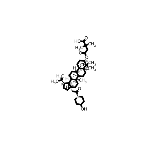 C=C(C)[C@@H]1CC[C@]2(CC(=O)N3CCC(O)CC3)CC[C@]3(C)[C@H](CC[C@@H]4[C@@]5(C)CC[C@H](OC(=O)CC(C)(C)C(=O)O)C(C)(C)[C@@H]5CC[C@]43C)[C@@H]12